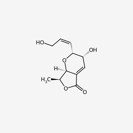 C[C@@H]1OC(=O)C2=C[C@@H](O)[C@@H](/C=C\CO)O[C@@H]21